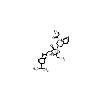 C=CC(=O)NCC(Cc1ccncc1)NC(=O)C(Cc1nc2ccc(C(C)C)cc2s1)NC(=O)CC